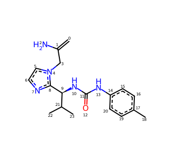 C=C(N)Cn1ccnc1[C@@H](NC(=O)Nc1ccc(C)cc1)C(C)C